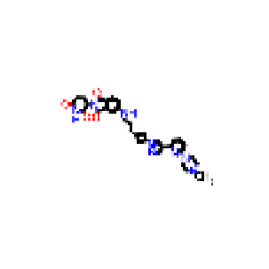 CN1CCN(c2cccc(-c3cnn([C@H]4C[C@H](CCCNc5ccc6c(c5)C(=O)N(C5CCC(=O)NC5=O)C6=O)C4)c3)n2)CC1